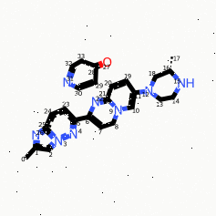 Cc1cn2nc(C3=CCN4C=C(N5CCN[C@@H](C)C5)C=CC4=N3)ccc2n1.O=C1C=CN=CC1